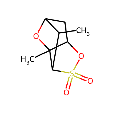 CC1C2CC3OS(=O)(=O)C1C3(C)O2